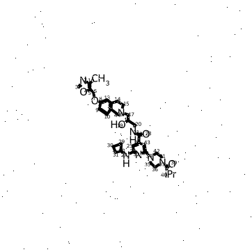 Cc1ncoc1COc1ccc2c(c1)CCN(CC(O)CNC(=O)c1cc(NC3CCC3)nc(N3CCN(C(=O)C(C)C)CC3)c1)C2